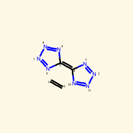 C=C.N1=NC(=C2N=NN=N2)N=N1